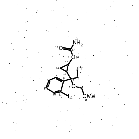 COCOC(CC(C)C)(c1ccccc1I)C1CC1OC(N)=O